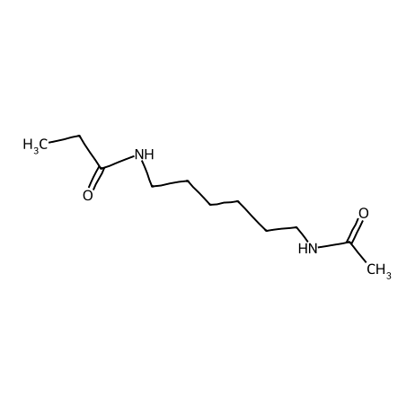 CCC(=O)NCCCCCCNC(C)=O